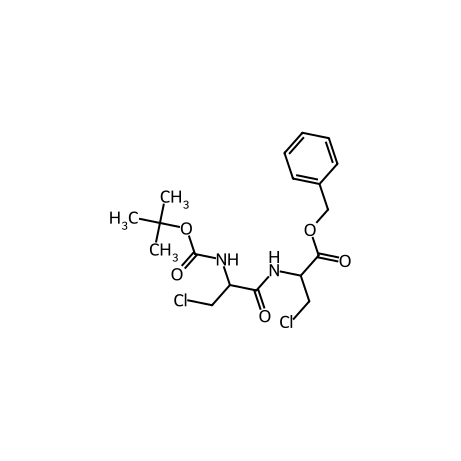 CC(C)(C)OC(=O)NC(CCl)C(=O)NC(CCl)C(=O)OCc1ccccc1